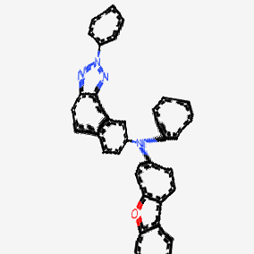 c1ccc(N(c2ccc3c(c2)oc2ccccc23)c2ccc3ccc4nn(-c5ccccc5)nc4c3c2)cc1